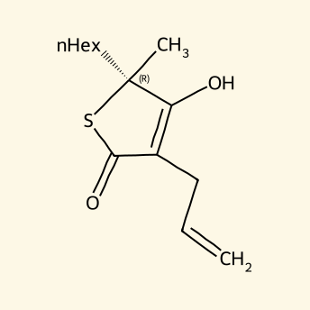 C=CCC1=C(O)[C@@](C)(CCCCCC)SC1=O